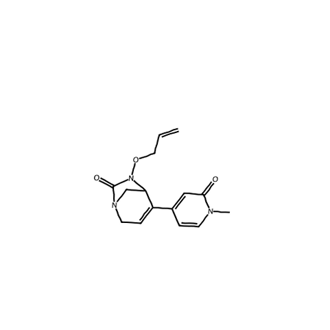 C=CCON1C(=O)N2CC=C(c3ccn(C)c(=O)c3)C1C2